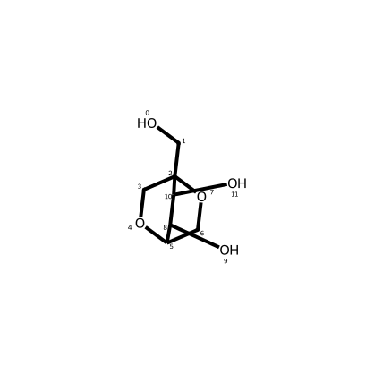 OCC12COC(CO1)C(O)C2O